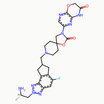 C[C@H](N)Cn1nc2cc(F)c3c(c2n1)CC(CN1CCC2(CC1)CN(c1cnc4c(n1)NC(=O)CO4)C(=O)O2)C3